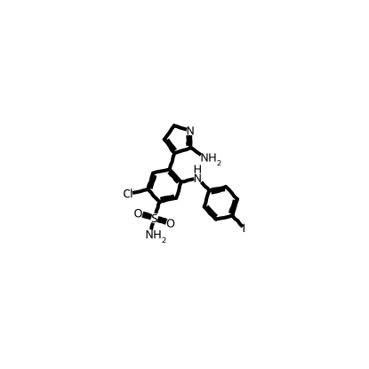 NC1=NCC=C1c1cc(Cl)c(S(N)(=O)=O)cc1Nc1ccc(I)cc1